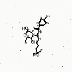 C=C(/N=C(/CCCCC(F)(F)F)N(CC(=O)O)C(O)CC)c1ccc(I)cc1